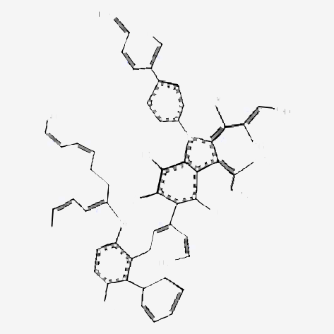 C=C/C=C\C(=C/C)c1ccc(-n2/c(=C(O)/C(O)=C/O)c(=C(C)C)c3c(C)c(C(/C=C\C)=C/Cc4c(N/C(=C/C=C\C)CC/C=C\C=C/S)ccc(C)c4C4C=CC=CC4)c(C)c(O)c32)cc1